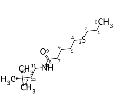 CCCSCCCCC(=O)NCCC(C)(C)C